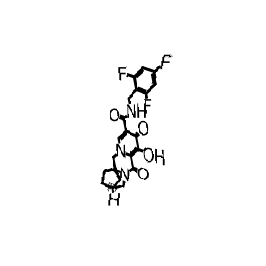 O=C(NCc1c(F)cc(F)cc1F)c1cn2c(c(O)c1=O)C(=O)N1C[C@@H]3CCC1(C3)C2